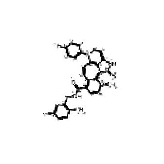 Cc1ccc(F)cc1CNC(=O)C1=c2ccc3c4c([nH]c(=O)c-4c2N(C)C=C1)=CCN3c1ccc(F)cc1